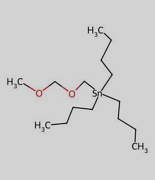 CCC[CH2][Sn]([CH2]CCC)([CH2]CCC)[CH2]OCOC